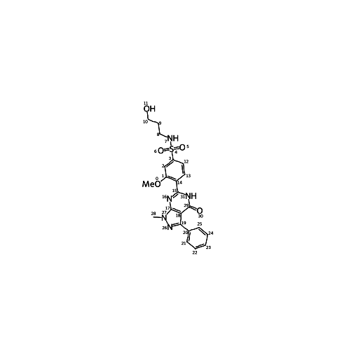 COc1cc(S(=O)(=O)NCCCO)ccc1-c1nc2c(c(-c3ccccc3)nn2C)c(=O)[nH]1